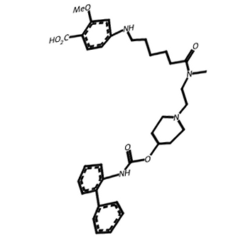 COc1cc(NCCCCCC(=O)N(C)CCN2CCC(OC(=O)Nc3ccccc3-c3ccccc3)CC2)ccc1C(=O)O